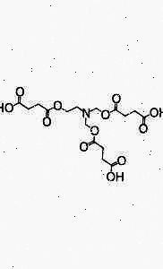 O=C(O)CCC(=O)OCCN(COC(=O)CCC(=O)O)COC(=O)CCC(=O)O